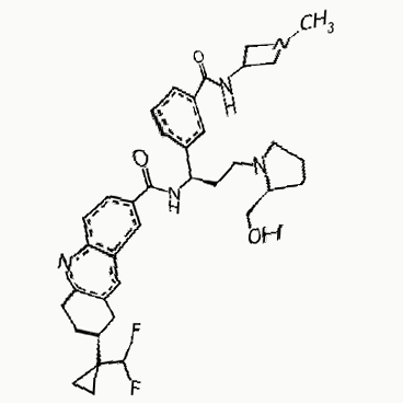 CN1CC(NC(=O)c2cccc([C@@H](CCN3CCC[C@H]3CO)NC(=O)c3ccc4nc5c(cc4c3)C[C@@H](C3(C(F)F)CC3)CC5)c2)C1